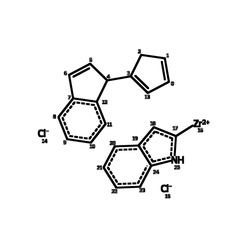 C1=CCC(C2C=Cc3ccccc32)=C1.[Cl-].[Cl-].[Zr+2][c]1cc2ccccc2[nH]1